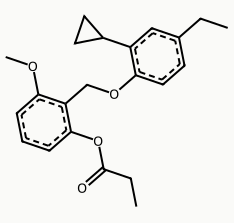 CCC(=O)Oc1cccc(OC)c1COc1ccc(CC)cc1C1CC1